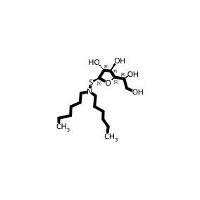 CCCCCCN(CCCCCC)S[C@@H]1O[C@@H]([C@H](O)CO)[C@H](O)[C@H]1O